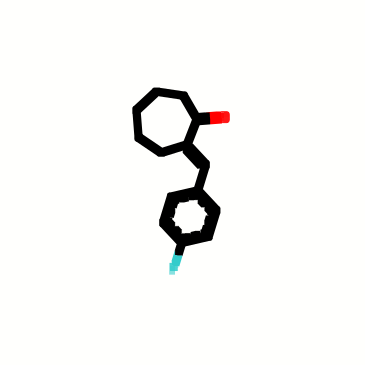 O=C1CCCCC/C1=C\c1ccc(F)cc1